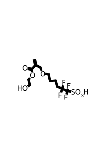 C=C(COCCCCC(F)(F)C(F)(F)S(=O)(=O)O)C(=O)OCCO